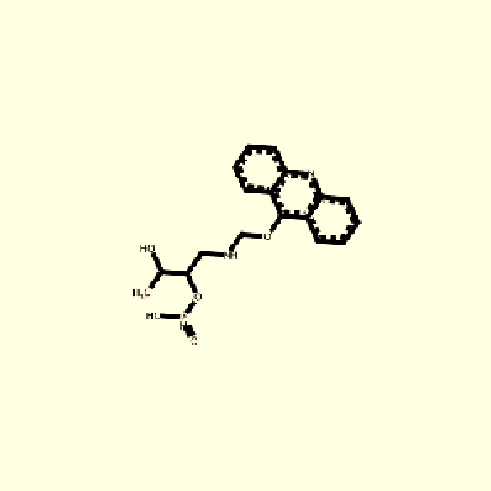 CC(O)C(CNCOc1c2ccccc2nc2ccccc12)O[PH](=O)O